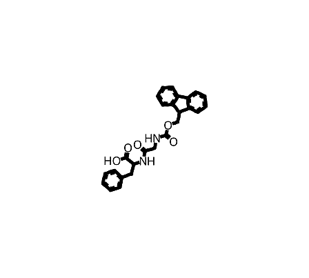 O=C(CNC(=O)OCC1c2ccccc2-c2ccccc21)NC(Cc1ccccc1)C(=O)O